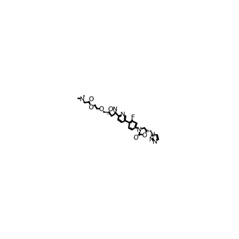 CN(C)CC(=O)OCCOC[C@@H]1CC(c2ccc(-c3ccc(N4C[C@H](Cn5ccnn5)OC4=O)cc3F)cn2)=NO1